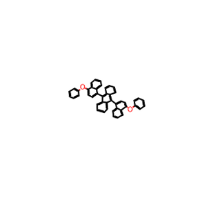 c1ccc(Oc2ccc(-c3c4ccccc4c(-c4ccc(Oc5ccccc5)c5ccccc45)c4ccccc34)c3ccccc23)cc1